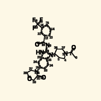 CC(=O)N1CCC(n2/c(=N/C(=O)c3cccc(C(F)(F)F)c3)[nH]c3cc(N4CCOCC4=O)ccc32)CC1